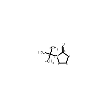 CC(C)(C)N1CCCC1=S